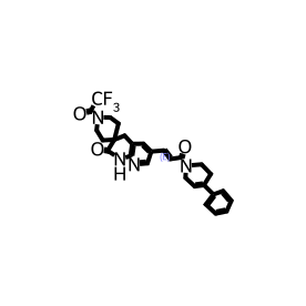 O=C(/C=C/c1cnc2c(c1)CC1(CCN(C(=O)C(F)(F)F)CC1)C(=O)N2)N1CC=C(c2ccccc2)CC1